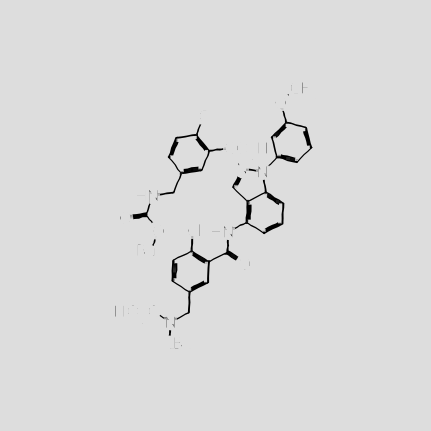 CC(C)(C)N(Cc1ccc(Cl)c(C(=O)Nc2cccc3c2cnn3-c2cccc(OC(F)(F)F)c2)c1)C(=O)O.CC(C)(C)OC(=O)NCc1ccc(Cl)c(C(=O)O)c1